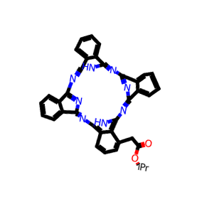 CC(C)OC(=O)Cc1cccc2c3nc4nc(nc5[nH]c(nc6nc(nc([nH]3)c12)-c1ccccc1-6)c1ccccc51)-c1ccccc1-4